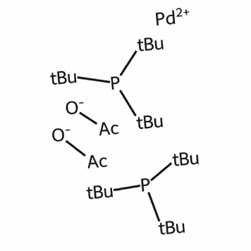 CC(=O)[O-].CC(=O)[O-].CC(C)(C)P(C(C)(C)C)C(C)(C)C.CC(C)(C)P(C(C)(C)C)C(C)(C)C.[Pd+2]